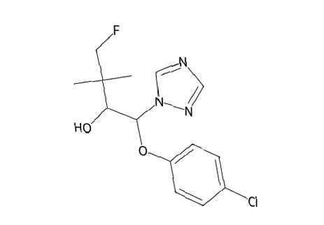 CC(C)(CF)C(O)C(Oc1ccc(Cl)cc1)n1cncn1